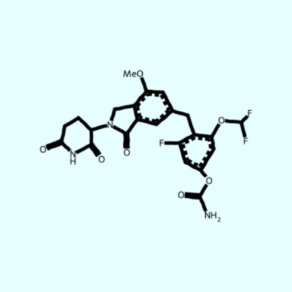 COc1cc(Cc2c(F)cc(OC(N)=O)cc2OC(F)F)cc2c1CN(C1CCC(=O)NC1=O)C2=O